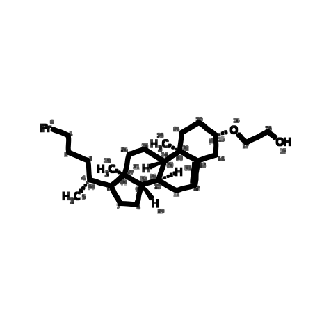 CC(C)CCC[C@@H](C)C1CC[C@H]2[C@@H]3CC=C4C[C@@H](OCCO)CC[C@]4(C)[C@H]3CC[C@]12C